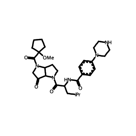 COC1(C(=O)N2CC(=O)C3C2CCN3C(=O)C(CC(C)C)NC(=O)c2ccc(N3CCNCC3)cc2)CCCC1